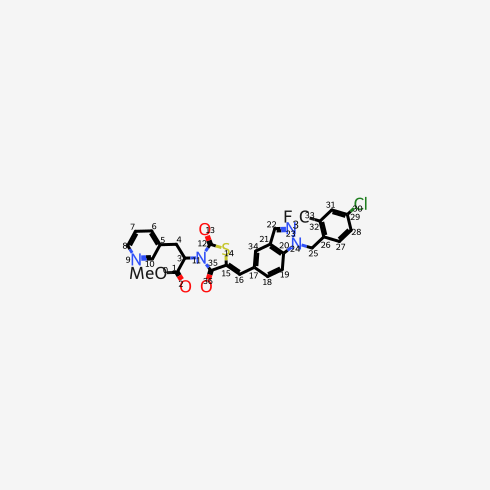 COC(=O)C(Cc1cccnc1)N1C(=O)SC(=Cc2ccc3c(cnn3Cc3ccc(Cl)cc3C(F)(F)F)c2)C1=O